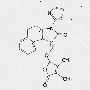 CC1=C(C)C(O/C=C2/C(=O)N(c3nccs3)C3CCc4ccccc4C23)OC1=O